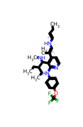 CC/C=C/N/C=C(\C)c1ccnc(Nc2ccc(OC(F)(F)F)cc2)c1C(NC)C(CC)CC